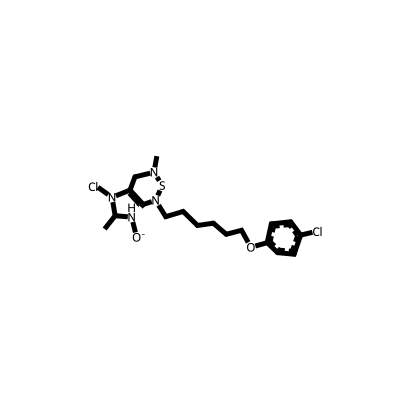 CC1N(Cl)C2=C(N(CCCCCCOc3ccc(Cl)cc3)SN(C)C2)[NH+]1[O-]